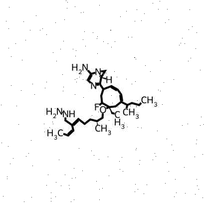 C/C=C\C(=C/CC[C@@H](C)CO[C@@]1(CC)C/C(C(C)CCC)=C\C=CC(C2=NC=C(N)N3C[C@H]23)CC1F)CNN